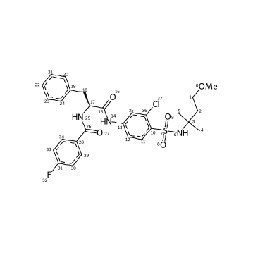 COCCC(C)(C)NS(=O)(=O)c1ccc(NC(=O)[C@H](Cc2ccccc2)NC(=O)c2ccc(F)cc2)cc1Cl